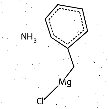 N.[Cl][Mg][CH2]c1ccccc1